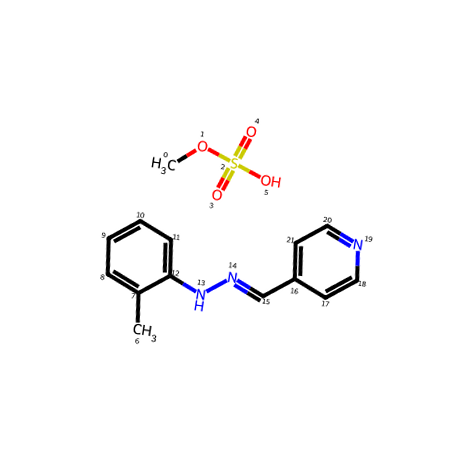 COS(=O)(=O)O.Cc1ccccc1NN=Cc1ccncc1